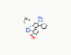 CCCCc1ncc(-c2ccccc2C(=O)O)n1Cc1ccc(-c2ccccc2)c(-c2nnn[nH]2)c1